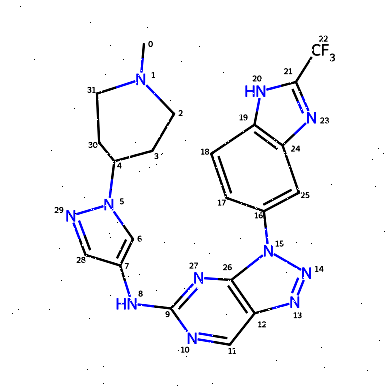 CN1CCC(n2cc(Nc3ncc4nnn(-c5ccc6[nH]c(C(F)(F)F)nc6c5)c4n3)cn2)CC1